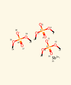 COP(=O)([O-])OC.COP(=O)([O-])OC.COP(=O)([O-])OC.[Sb+3]